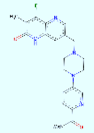 CNC(=O)c1ccc(N2CCN(Cc3cnc4c(F)c(C)c(=O)[nH]c4c3)CC2)cn1